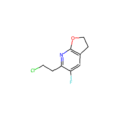 Fc1cc2c(nc1CCCl)OCC2